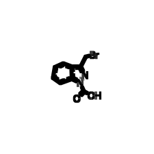 O=C(O)n1nc(CBr)c2ccccc21